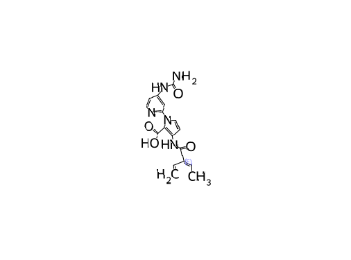 C=C/C(=C\C)C(=O)Nc1ccn(-c2cc(NC(N)=O)ccn2)c1C(=O)O